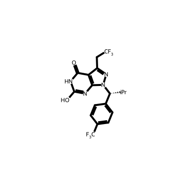 CC(C)[C@H](c1ccc(C(F)(F)F)cc1)n1nc(CC(F)(F)F)c2c(=O)[nH]c(O)nc21